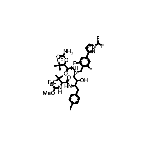 COC(=O)NC(C(=O)NC(Cc1ccc(I)cc1)C(O)CN(Cc1c(F)cc(-c2ccn(C(F)F)n2)cc1F)NC(=O)C(OC(N)=O)C(C)(C)C(F)(F)F)C(C)(C)C(F)(F)F